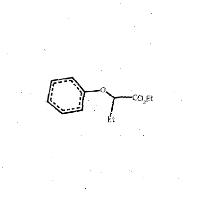 CCOC(=O)C(CC)Oc1cc[c]cc1